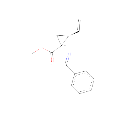 C=C[C@@H]1C[C@]1(N=Cc1ccccc1)C(=O)OC